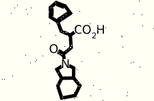 O=C(O)C(CC(=O)N1CC2CCCCC2C1)Cc1ccccc1